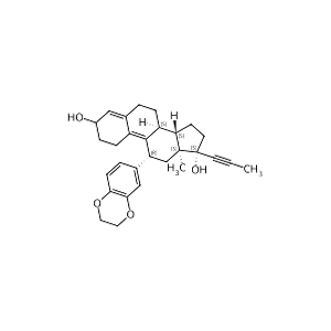 CC#C[C@]1(O)CC[C@H]2[C@@H]3CCC4=CC(O)CCC4=C3[C@@H](c3ccc4c(c3)OCCO4)C[C@@]21C